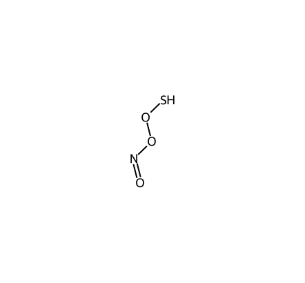 O=NOOS